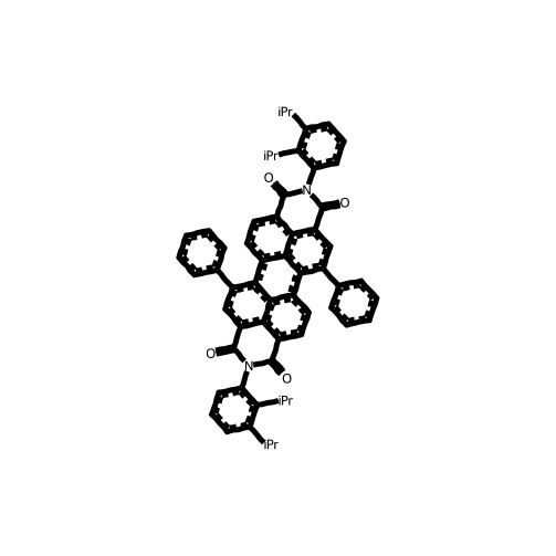 CC(C)c1cccc(N2C(=O)c3ccc4c5c(-c6ccccc6)cc6c7c(ccc(c8c(-c9ccccc9)cc(c3c48)C2=O)c75)C(=O)N(c2cccc(C(C)C)c2C(C)C)C6=O)c1C(C)C